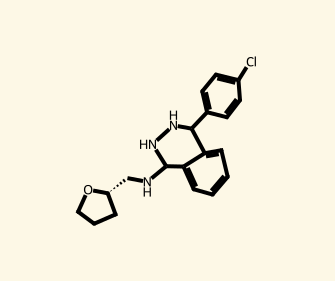 Clc1ccc(C2NNC(NC[C@@H]3CCCO3)c3ccccc32)cc1